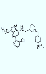 Bc1ccc(CN2CCCC(CNc3cc(-c4ccccc4Cl)nc4c(B)cnn34)C2)cc1